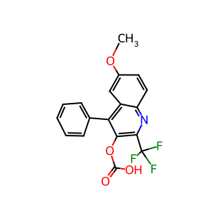 COc1ccc2nc(C(F)(F)F)c(OC(=O)O)c(-c3ccccc3)c2c1